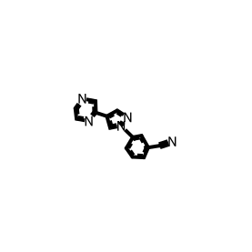 N#Cc1cccc(-n2cc(-c3cnccn3)cn2)c1